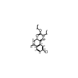 CCOC(=O)N(CC)/N=C(\CC)c1cc(Cl)ccc1NC